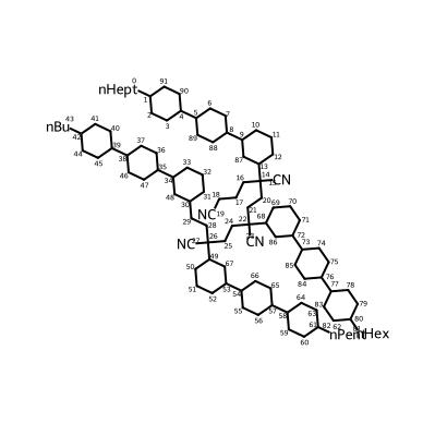 CCCCCCCC1CCC(C2CCC(C3CCCC(C(C#N)(CCCC#N)CCC(C#N)(CCC(C#N)(CCC4CCCC(C5CCC(C6CCC(CCCC)CC6)CC5)C4)C4CCCC(C5CCC(C6CCC(CCCCC)CC6)CC5)C4)C4CCCC(C5CCC(C6CCC(CCCCCC)CC6)CC5)C4)C3)CC2)CC1